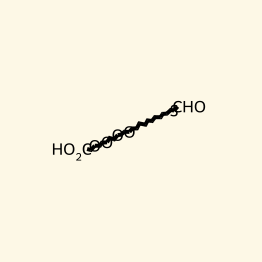 O=CSCCCCCCCCCCCOCCOCCOCCOCC(=O)O